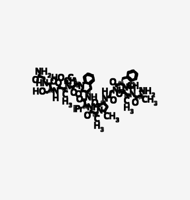 CC(C)[C@H](NC(=O)[C@H](C)N1C(=O)[C@@H](NC(=O)CNC(=O)[C@H](Cc2ccccc2)N(C)C(=O)[C@H](C)NC(=O)[C@H](C)N)CC1C)C(=O)N[C@H]1Cc2ccccc2N([C@@H](CC(=O)O)C(=O)N(C)[C@@H](C)C(=O)N[C@@H](CO)C(=O)NCC(N)=O)C1=O